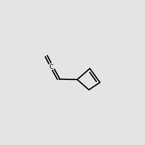 C=C=CC1C=CC1